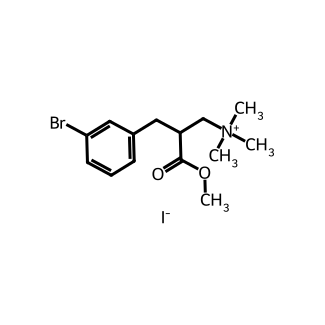 COC(=O)C(Cc1cccc(Br)c1)C[N+](C)(C)C.[I-]